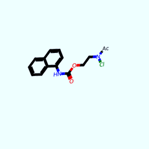 CC(=O)N(Cl)CCOC(=O)Nc1cccc2ccccc12